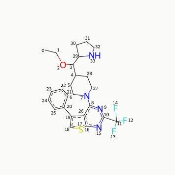 CCOC(C1CCN(c2nc(C(F)(F)F)nc3scc(-c4ccccc4)c23)CC1)C1CCCN1